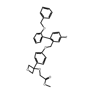 COC(=O)COC1(c2ccc(OCc3cc(F)ccc3-c3ccccc3OCc3ccccc3)cc2)COC1